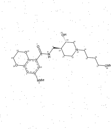 CNc1cc2c(c(C(=O)NC[C@@H]3CCN(CCCCOC)C[C@H]3O)c1)OCCO2